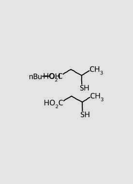 CC(S)CC(=O)O.CC(S)CC(=O)O.CCCCO